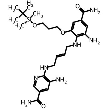 CC(C)(C)[Si](C)(C)OCCCOc1cc(C(N)=O)cc(N)c1NCC=CCNc1ncc(C(N)=O)cc1N